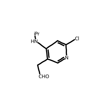 CC(C)Nc1cc(Cl)ncc1CC=O